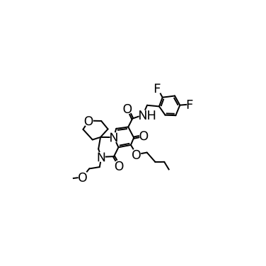 CCCCOc1c2n(cc(C(=O)NCc3ccc(F)cc3F)c1=O)C1(CCOCC1)CN(CCOC)C2=O